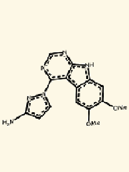 COc1cc2[nH]c3ncnc(-n4ccc(N)n4)c3c2cc1OC